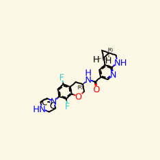 O=C(N[C@H]1COc2c(F)c(N3CC4CCCC3CN4)cc(F)c2C1)c1cnc2c(c1)[C@H]1C[C@H]1CN2